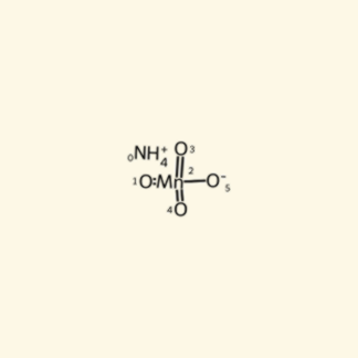 [NH4+].[O]=[Mn](=[O])(=[O])[O-]